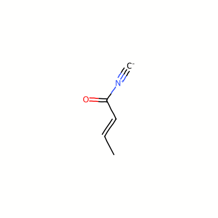 [C-]#[N+]C(=O)/C=C/C